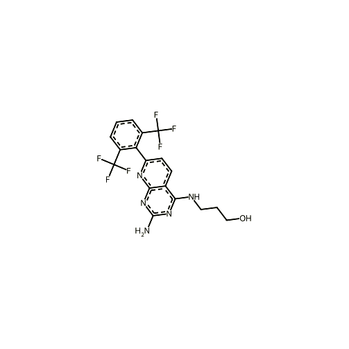 Nc1nc(NCCCO)c2ccc(-c3c(C(F)(F)F)cccc3C(F)(F)F)nc2n1